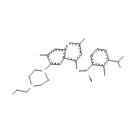 COc1cc2nc(C)cc(N[C@H](C)c3cccc(C(F)F)c3F)c2cc1N1CCN(CCO)CC1